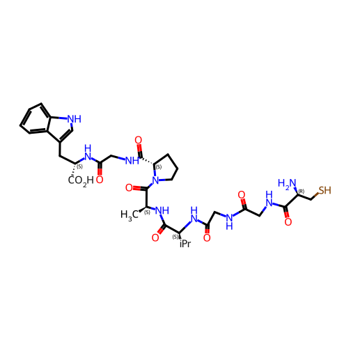 CC(C)[C@H](NC(=O)CNC(=O)CNC(=O)[C@@H](N)CS)C(=O)N[C@@H](C)C(=O)N1CCC[C@H]1C(=O)NCC(=O)N[C@@H](Cc1c[nH]c2ccccc12)C(=O)O